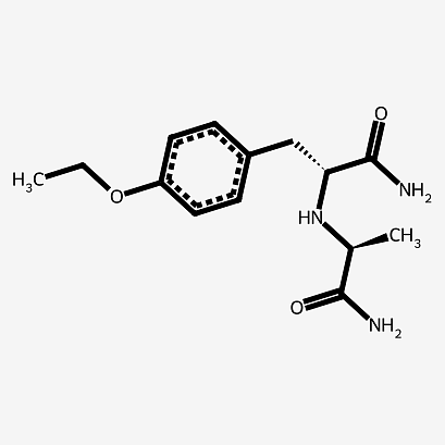 CCOc1ccc(C[C@@H](N[C@@H](C)C(N)=O)C(N)=O)cc1